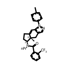 CCCN(C(=O)c1ccccc1C(F)(F)F)[C@H]1CCC2=Cc3c(cnn3-c3ccc(C)cc3)C[C@@]21C